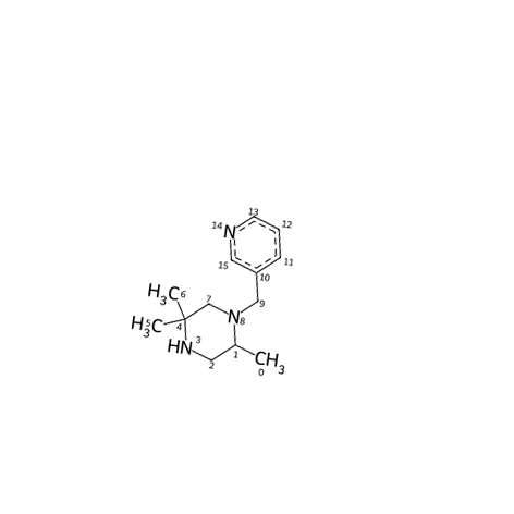 CC1CNC(C)(C)CN1Cc1cccnc1